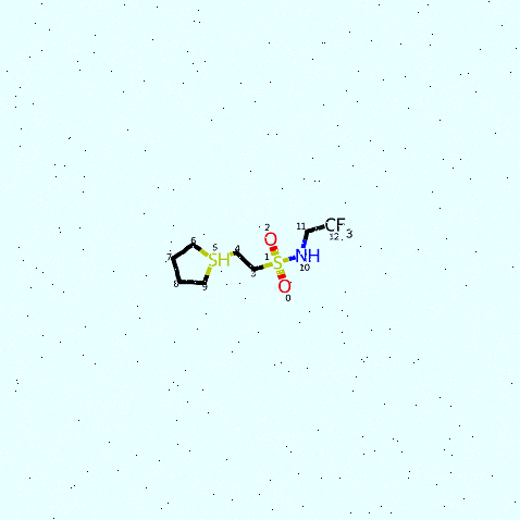 O=S(=O)(CC[SH]1CCCC1)NCC(F)(F)F